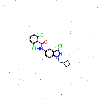 O=C(Nc1ccc2c(c1)c(Cl)nn2CC1CCC1)c1c(Cl)cccc1Cl